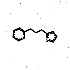 [CH](Cc1ccccc1)Cc1cccs1